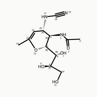 CC(=O)N[C@H]1[C@H]([C@H](O)[C@H](O)CO)OC(C)=C[C@@H]1NC#N